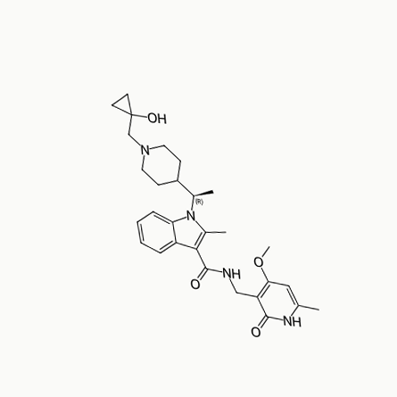 COc1cc(C)[nH]c(=O)c1CNC(=O)c1c(C)n([C@H](C)C2CCN(CC3(O)CC3)CC2)c2ccccc12